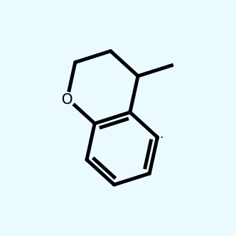 CC1CCOc2ccc[c]c21